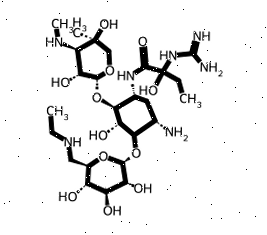 CCNC[C@H]1O[C@H](OC2[C@@H](N)C[C@@H](NC(=O)C(O)(CC)NC(=N)N)[C@H](O[C@H]3OC[C@](C)(O)[C@H](NC)[C@H]3O)[C@H]2O)[C@H](O)[C@@H](O)[C@@H]1O